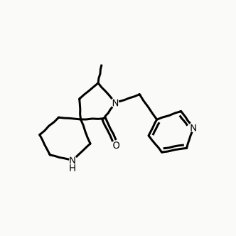 CC1CC2(CCCNC2)C(=O)N1Cc1cccnc1